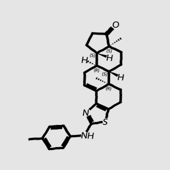 Cc1ccc(Nc2nc3c(s2)CC[C@@]2(C)C3=CC[C@@H]3[C@@H]2CC[C@]2(C)C(=O)CC[C@@H]32)cc1